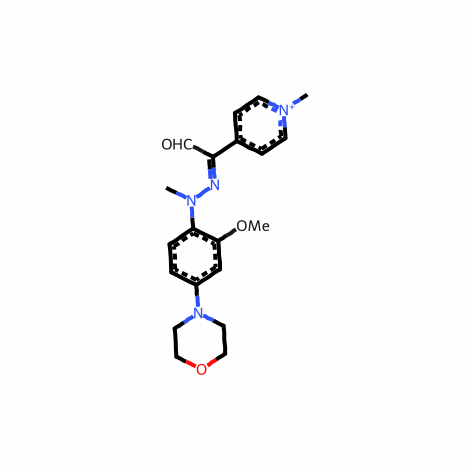 COc1cc(N2CCOCC2)ccc1N(C)/N=C(\C=O)c1cc[n+](C)cc1